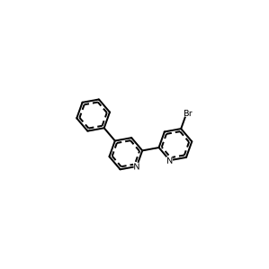 Brc1ccnc(-c2cc(-c3ccccc3)ccn2)c1